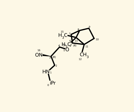 CC(C)NC[C@H](CO[C@@H]1CC2CCC1(C)C2(C)C)N=O